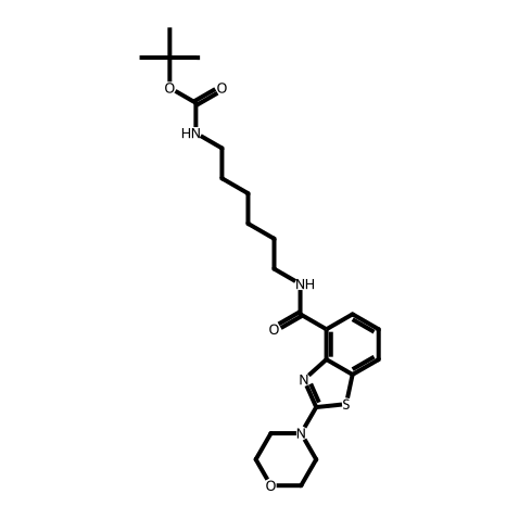 CC(C)(C)OC(=O)NCCCCCCNC(=O)c1cccc2sc(N3CCOCC3)nc12